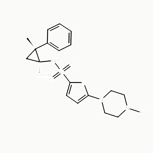 CC(C)N1CCN(c2ccc(S(=O)(=O)N[C@@]3(C(=O)O)C[C@]3(C)c3ccccc3)s2)CC1